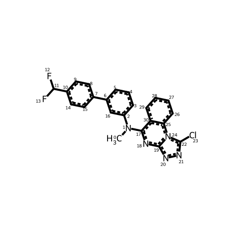 CN(c1cccc(-c2ccc(C(F)F)cc2)c1)c1nc2nnc(Cl)n2c2ccccc12